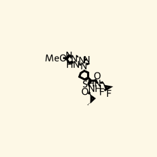 COc1cc(Nc2nncn2[C@H]2CCc3sc(NC(=O)[C@H]4C[C@@H]4C)c(C(=O)NC[C@H]4CC4(F)F)c3C2)n(C)n1